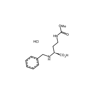 COC(=O)NCC[C@H](NCc1ccccc1)C(=O)O.Cl